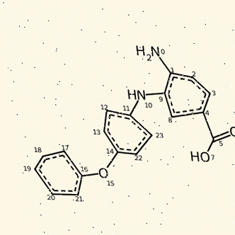 Nc1ccc(C(=O)O)cc1Nc1ccc(Oc2ccccc2)cc1